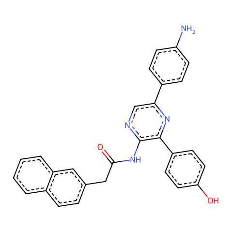 Nc1ccc(-c2cnc(NC(=O)Cc3ccc4ccccc4c3)c(-c3ccc(O)cc3)n2)cc1